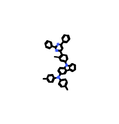 Cc1ccc(N(c2ccc(C)cc2)c2ccc3c(c2)c2ccccc2n3-c2ccc(-c3cc(-c4ccccc4)nc(-c4ccccc4)n3)c(C)c2)cc1